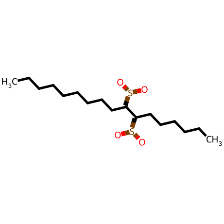 CCCCCCCCCC(C(CCCCCC)=S(=O)=O)=S(=O)=O